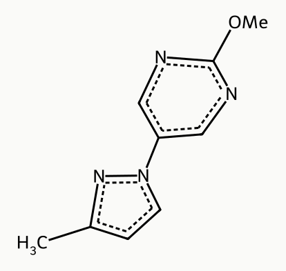 COc1ncc(-n2ccc(C)n2)cn1